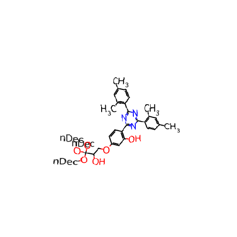 CCCCCCCCCCOC(OCCCCCCCCCC)(OCCCCCCCCCC)C(O)COc1ccc(-c2nc(-c3ccc(C)cc3C)nc(-c3ccc(C)cc3C)n2)c(O)c1